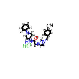 Cl.N#Cc1ccc(CN2C=CN(CC(=O)NC3CCN(c4ccccc4)CC3)C2)cc1